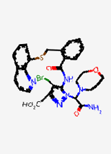 NC(=O)C(N1CCOCC1)n1nc(C(=O)O)c(Br)c1NC(=O)c1ccccc1CSc1cccc2cccnc12